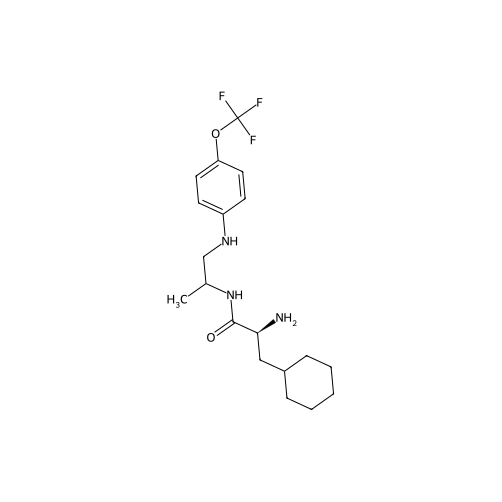 CC(CNc1ccc(OC(F)(F)F)cc1)NC(=O)[C@@H](N)CC1CCCCC1